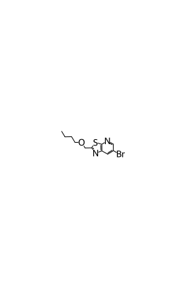 CCCCOCc1nc2cc(Br)cnc2s1